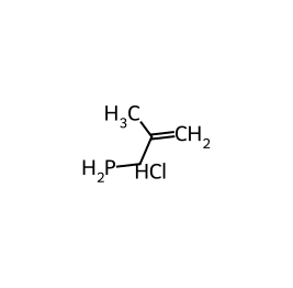 C=C(C)CP.Cl